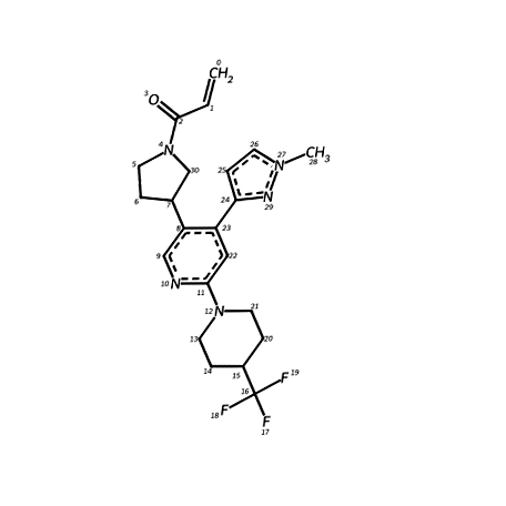 C=CC(=O)N1CCC(c2cnc(N3CCC(C(F)(F)F)CC3)cc2-c2ccn(C)n2)C1